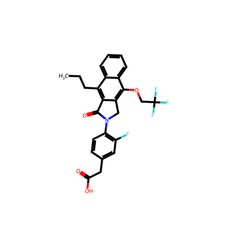 CCCc1c2c(c(OCC(F)(F)F)c3ccccc13)CN(c1ccc(CC(=O)O)cc1F)C2=O